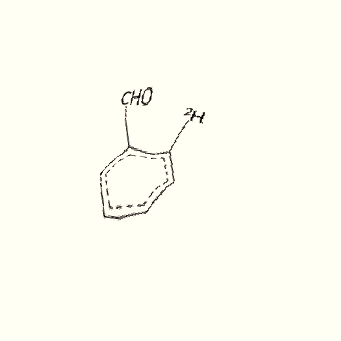 [2H]c1ccccc1C=O